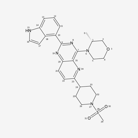 C[C@@H]1COCCN1c1nc(-c2cccc3[nH]ccc23)nc2ccc(C3CCN(S(C)(=O)=O)CC3)nc12